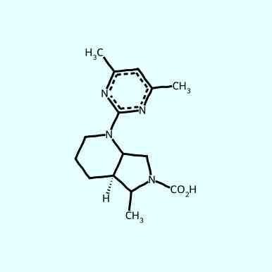 Cc1cc(C)nc(N2CCC[C@@H]3C(C)N(C(=O)O)CC32)n1